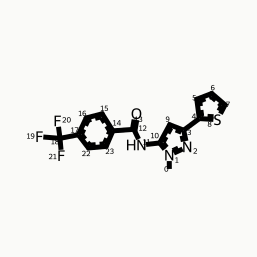 Cn1nc(-c2cccs2)cc1NC(=O)c1ccc(C(F)(F)F)cc1